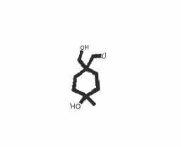 CC1(O)CCC(CO)(CCl)CC1